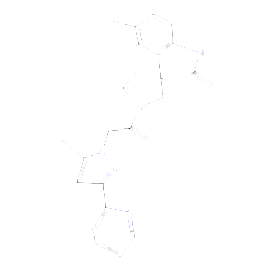 Nc1cc(-c2ccccn2)nn1CC(=O)N1CC[C@@]2(C1)OC(=O)Nc1ccc(Cl)c(F)c12